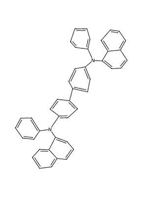 [c]1cc(N(c2ccccc2)c2cccc3ccccc23)ccc1-c1ccc(N(c2ccccc2)c2cccc3ccccc23)cc1